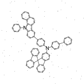 c1ccc(-c2ccc(N(c3ccc(-c4ccc5c(c4)c4ccc6ccccc6c4n5-c4ccccc4)cc3)c3ccc4c(c3)C3(c5ccccc5-c5ccccc53)c3ccccc3-4)cc2)cc1